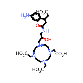 Nc1ccc(C(CC(=O)O)CC(=O)NCC(O)CN2CCN(CC(=O)O)CCN(CC(=O)O)CCN(CC(=O)O)CC2)cc1